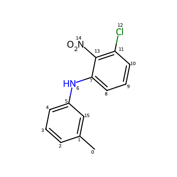 Cc1cccc(Nc2cccc(Cl)c2[N+](=O)[O-])c1